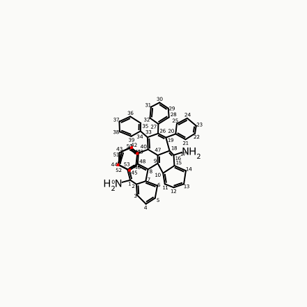 Nc1c2ccccc2c(-c2c3ccccc3c(N)c3c(-c4ccccc4)c(-c4ccccc4)c(-c4ccccc4)c(-c4ccccc4)c23)c2ccccc12